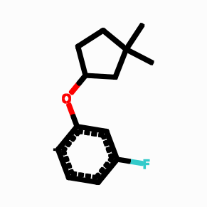 CC1(C)CCC(Oc2[c]ccc(F)c2)C1